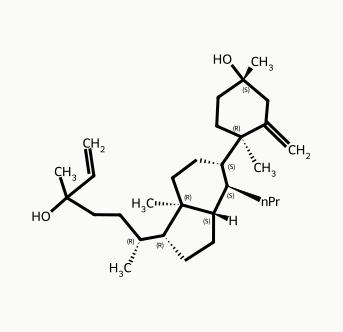 C=CC(C)(O)CC[C@@H](C)[C@H]1CC[C@H]2[C@H](CCC)[C@@H]([C@@]3(C)CC[C@](C)(O)CC3=C)CC[C@]12C